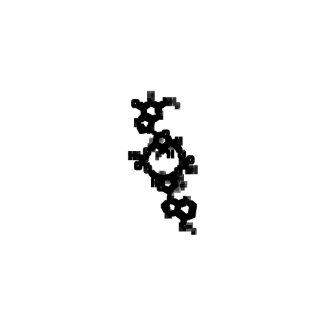 Nc1nc2c(ncn2[C@@H]2O[C@@H]3COP(=O)(S)O[C@H]4[C@H](F)[C@H](n5cnc6c(N)ccnc65)O[C@@H]4COP(=O)(S)O[C@@H]2[C@@H]3F)c(=O)[nH]1